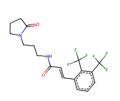 O=C(/C=C/c1cc[c]c(C(F)(F)F)c1C(F)(F)F)NCCCN1CCCC1=O